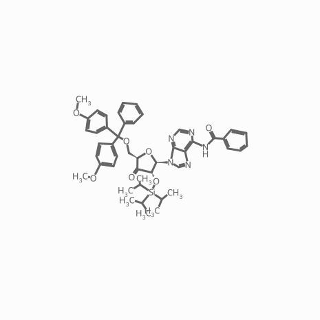 COc1ccc(C(OC[C@H]2O[C@@H](n3cnc4c(NC(=O)c5ccccc5)ncnc43)[C@H](O[Si](C(C)C)(C(C)C)C(C)C)C2=O)(c2ccccc2)c2ccc(OC)cc2)cc1